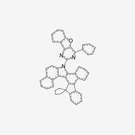 c1ccc(-c2nc(-n3c4ccc5ccccc5c4c4c5c(c6ccccc6c43)-c3ccccc3C53CCCCC3)nc3c2oc2ccccc23)cc1